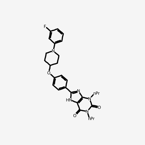 CCCn1c(=O)c2[nH]c(-c3ccc(OC4CCN(c5cccc(F)c5)CC4)cc3)nc2n(CCC)c1=O